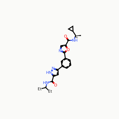 CCC(CC)NC(=O)c1cc(-c2cccc(-c3ncc(C(=O)N[C@H](C)C4CC4)o3)c2)n[nH]1